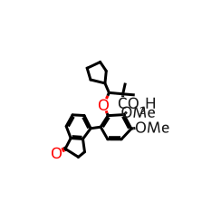 COc1ccc(-c2cccc3c2CCC3=O)c(OC(C2CCCC2)C(C)(C)C(=O)O)c1OC